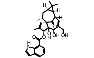 CC1=C[C@]23C(=O)[C@@H](C=C(CO)[C@@H](O)[C@]2(O)[C@H]1OC(=O)c1cccc2cc[nH]c12)[C@H]1[C@@H](C[C@H]3C)C1(C)C